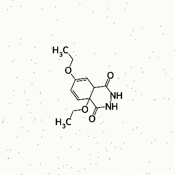 CCOC1=CC2C(=O)NNC(=O)C2(OCC)C=C1